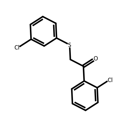 O=C(CSc1cccc(Cl)c1)c1ccccc1Cl